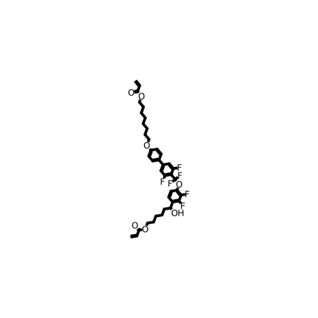 C=CC(=O)OCCCCCCCCOc1ccc(-c2cc(F)c(C(F)(F)Oc3ccc(C(O)CCCCCOC(=O)C=C)c(F)c3F)c(F)c2)cc1